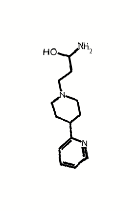 NC(O)CCN1CCC(c2ccccn2)CC1